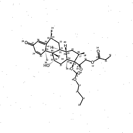 CCCCOC(=O)O[C@]1(C(=O)COC(=O)CC)[C@H](C)C[C@H]2[C@@H]3C[C@H](F)C4=CC(=O)C=C[C@]4(C)[C@@]3(F)[C@@H](O)C[C@@]21C